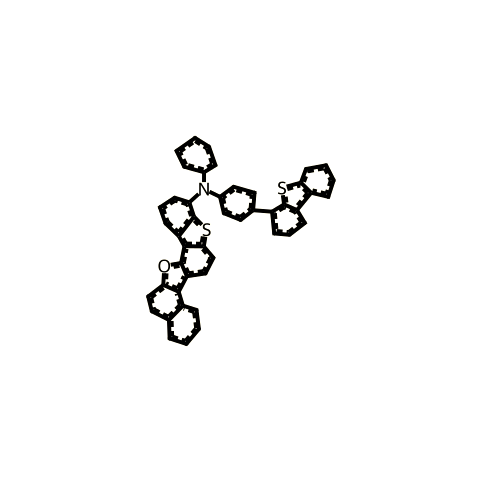 c1ccc(N(c2ccc(-c3cccc4c3sc3ccccc34)cc2)c2cccc3c2sc2ccc4c(oc5ccc6ccccc6c54)c23)cc1